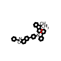 CC1(C)c2ccccc2-c2cc(N(c3ccc(-c4ccc5c(ccc6oc(-c7ccccc7)nc65)c4)cc3)c3ccccc3-c3ccccc3)ccc21